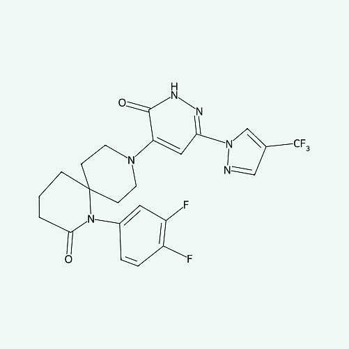 O=C1CCCC2(CCN(c3cc(-n4cc(C(F)(F)F)cn4)n[nH]c3=O)CC2)N1c1ccc(F)c(F)c1